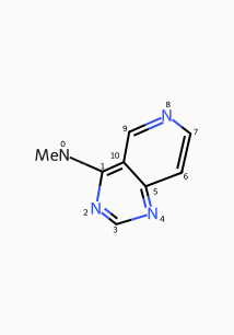 CNc1ncnc2ccncc12